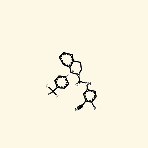 N#Cc1cc(NC(=O)N2CCc3ccccc3[C@H]2c2ccc(C(F)(F)F)cc2)ccc1F